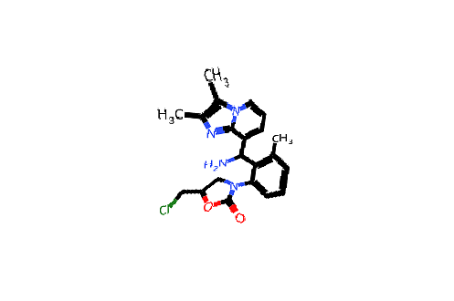 Cc1cccc(N2CC(CCl)OC2=O)c1C(N)c1cccn2c(C)c(C)nc12